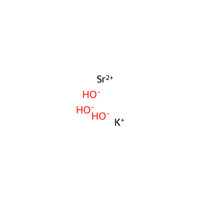 [K+].[OH-].[OH-].[OH-].[Sr+2]